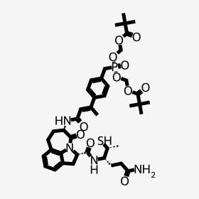 C/C(=C\C(=O)N[C@H]1CCc2cccc3c2N(C1=O)[C@H](C(=O)N[C@@H](CCC(N)=O)[C@@H](C)S)C3)c1ccc(CP(=O)(OCOC(=O)C(C)(C)C)OCOC(=O)C(C)(C)C)cc1